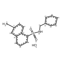 Cl.Nc1ccc2c(S(=O)(=O)NCc3ccccc3)cccc2c1